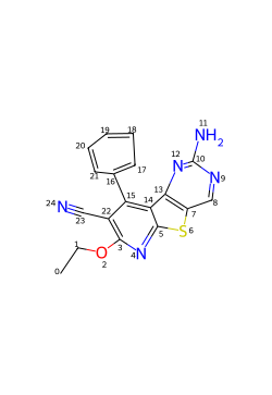 CCOc1nc2sc3cnc(N)nc3c2c(-c2ccccc2)c1C#N